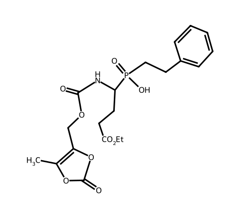 CCOC(=O)CCC(NC(=O)OCc1oc(=O)oc1C)P(=O)(O)CCc1ccccc1